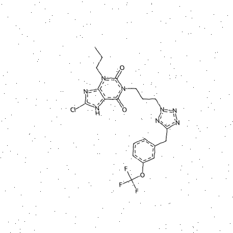 CCCn1c(=O)n(CCCn2nnc(Cc3cccc(OC(F)(F)F)c3)n2)c(=O)c2[nH]c(Cl)nc21